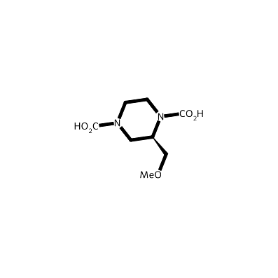 COC[C@H]1CN(C(=O)O)CCN1C(=O)O